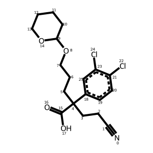 N#CCCC(CCCOC1CCCCO1)(C(=O)O)c1ccc(Cl)c(Cl)c1